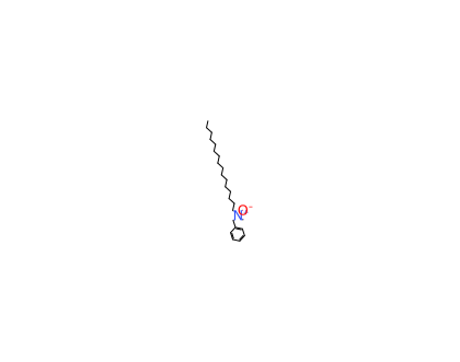 CCCCCCCCCCCCCCCC[N+](C)([O-])Cc1ccccc1